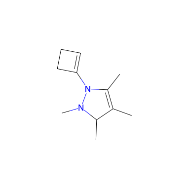 CC1=C(C)N(C2=CCC2)N(C)C1C